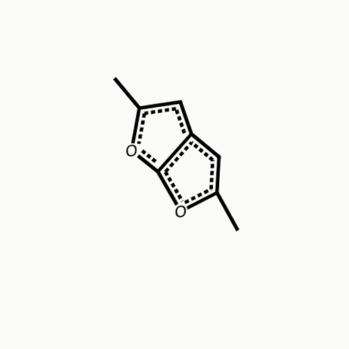 Cc1cc2cc(C)oc2o1